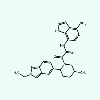 CCn1cc2cc(C3CCC(C)CN3C(=O)C(=O)Nc3cnc(N)c4cn[nH]c34)ccc2n1